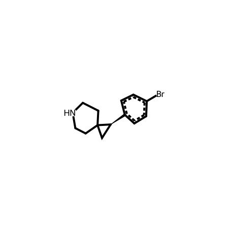 Brc1ccc([C@H]2CC23CCNCC3)cc1